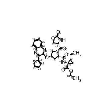 C=C[C@@H]1C[C@]1(NC(=O)[C@@H]1C[C@@H](Oc2nc3ccccc3nc2-c2cccs2)CN1C(=O)[C@@H]1COC(=O)N1)C(=O)OCC